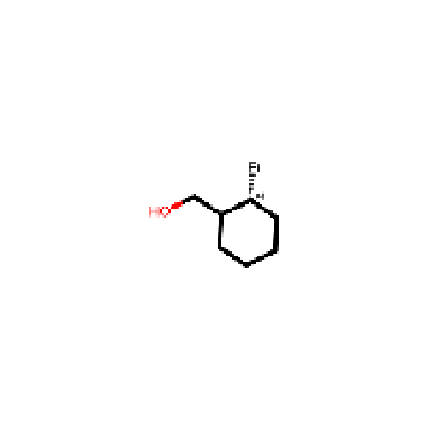 CC[C@@H]1CCCCC1CO